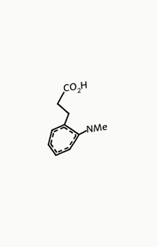 CNc1ccccc1CCC(=O)O